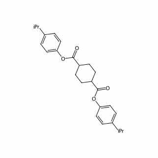 CC(C)c1ccc(OC(=O)C2CCC(C(=O)Oc3ccc(C(C)C)cc3)CC2)cc1